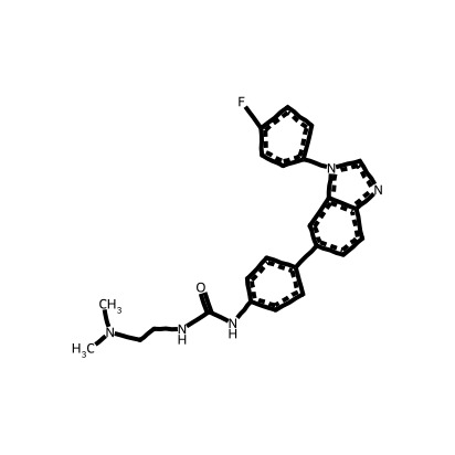 CN(C)CCNC(=O)Nc1ccc(-c2ccc3ncn(-c4ccc(F)cc4)c3c2)cc1